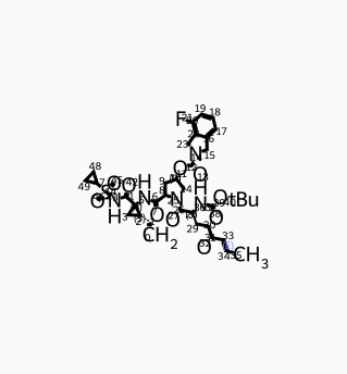 C=C[C@@H]1C[C@]1(NC(=O)C1C[C@@H](OC(=O)N2Cc3cccc(F)c3C2)CN1C(=O)[C@H](CCC(=O)/C=C/C)NC(=O)OC(C)(C)C)C(=O)NS(=O)(=O)C1CC1